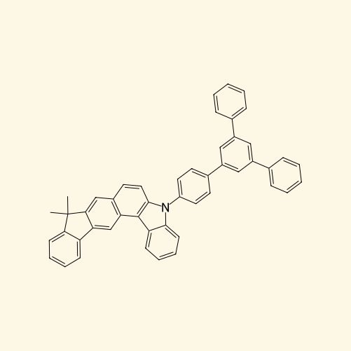 CC1(C)c2ccccc2-c2cc3c(ccc4c3c3ccccc3n4-c3ccc(-c4cc(-c5ccccc5)cc(-c5ccccc5)c4)cc3)cc21